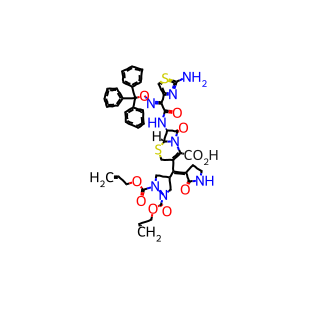 C=CCOC(=O)N1CC(C(=C2CCNC2=O)C2=C(C(=O)O)N3C(=O)[C@@H](NC(=O)C(=NOC(c4ccccc4)(c4ccccc4)c4ccccc4)c4csc(N)n4)[C@H]3SC2)CN1C(=O)OCC=C